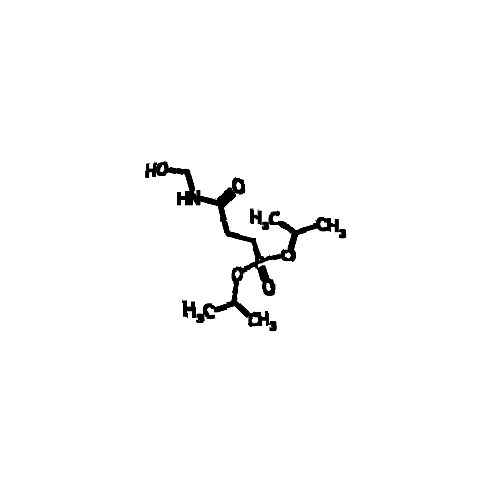 CC(C)OP(=O)(CCC(=O)NCO)OC(C)C